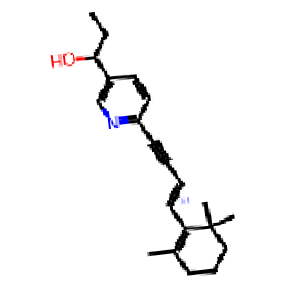 CCC(O)c1ccc(C#C/C=C/C2=C(C)CCCC2(C)C)nc1